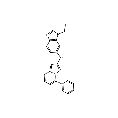 ICn1cnc2ccc(Nc3nc4cccc(-c5ccccc5)n4n3)cc21